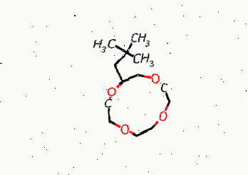 CC(C)(C)CC1COCCOCCOCCO1